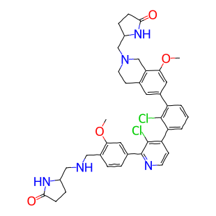 COc1cc(-c2nccc(-c3cccc(-c4cc5c(c(OC)c4)CN(CC4CCC(=O)N4)CC5)c3Cl)c2Cl)ccc1CNCC1CCC(=O)N1